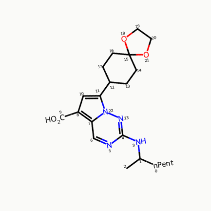 CCCCCC(C)Nc1ncc2c(C(=O)O)cc(C3CCC4(CC3)OCCO4)n2n1